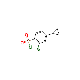 O=S(=O)(Cl)c1ccc(C2CC2)cc1Br